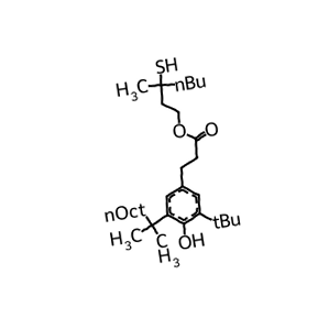 CCCCCCCCC(C)(C)c1cc(CCC(=O)OCCC(C)(S)CCCC)cc(C(C)(C)C)c1O